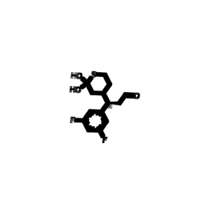 O=CC[C@@H](c1cc(F)cc(F)c1)C1CCSC(O)(O)C1